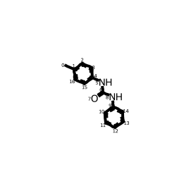 Cc1ccc(NC(=O)Nc2ccccc2)cc1